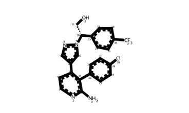 Nc1nccc(-c2cnn([C@H](CO)c3ccc(C(F)(F)F)cc3)c2)c1-c1ccc(Cl)cc1